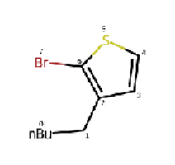 CCCCCc1ccsc1Br